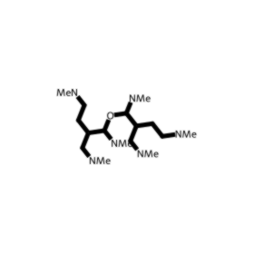 CNCCC(CNC)C(NC)OC(NC)C(CCNC)CNC